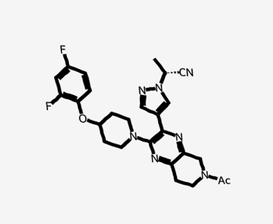 CC(=O)N1CCc2nc(N3CCC(Oc4ccc(F)cc4F)CC3)c(-c3cnn([C@H](C)C#N)c3)nc2C1